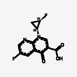 O=C(O)c1cn([C@@H]2C[C@@H]2F)c2ncc(F)cc2c1=O